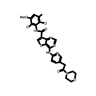 COc1cc(C)c(Cl)c(NC(=O)c2csc3c(Nc4ccc(CC(=O)N5CCOCC5)cn4)ncnc23)c1Cl